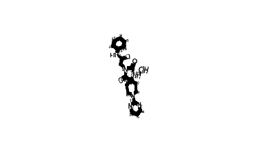 Cl.O=C(CN1C(=O)NC2(CCN(c3ncccn3)CC2)C1=O)Nc1ccccc1